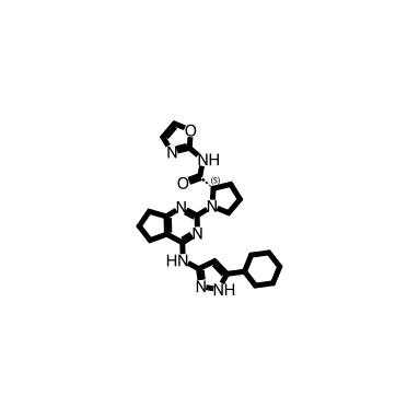 O=C(Nc1ncco1)[C@@H]1CCCN1c1nc2c(c(Nc3cc(C4CCCCC4)[nH]n3)n1)CCC2